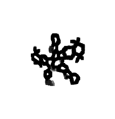 CC(C)(C)c1ccc(Nc2cc3c(cc2-c2c4c5c(c6cc7c(cc6n5-c5cc6c(cc5B4)sc4ccccc46)C(C)(C)CCC7(C)C)c4c2oc2ccccc24)C(C)(C)CCC3(C)C)cc1